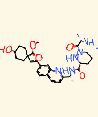 COC(=O)C1(/C=C/c2ccc3ccc([C@@H](C)NC(=O)[C@@H]4CCCN(C(=O)[C@H](C)N)N4)nc3c2)CCC(O)CC1